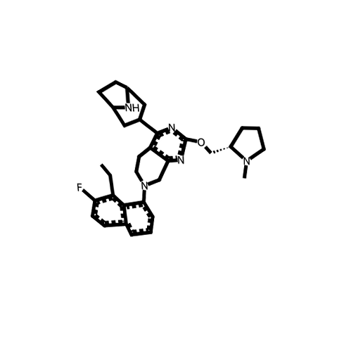 CCc1c(F)ccc2cccc(N3CCc4c(nc(OC[C@@H]5CCCN5C)nc4C4CC5CCC(C4)N5)C3)c12